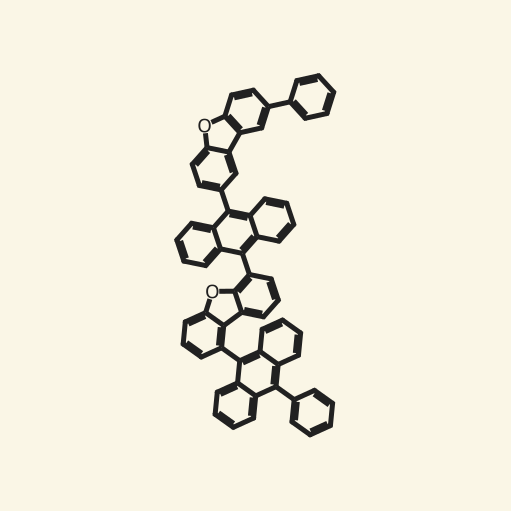 c1ccc(-c2ccc3oc4ccc(-c5c6ccccc6c(-c6cccc7c6oc6cccc(-c8c9ccccc9c(-c9ccccc9)c9ccccc89)c67)c6ccccc56)cc4c3c2)cc1